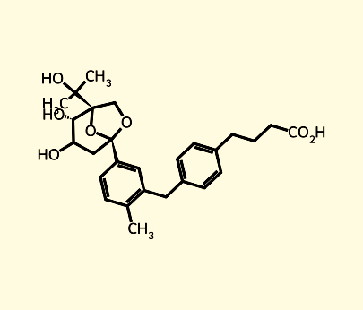 Cc1ccc([C@]23CC(O)[C@H](O)[C@](C(C)(C)O)(CO2)O3)cc1Cc1ccc(CCCC(=O)O)cc1